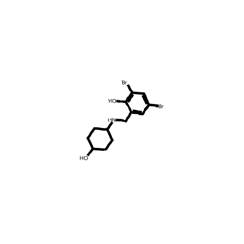 Oc1c(Br)cc(Br)cc1CNC1CCC(O)CC1